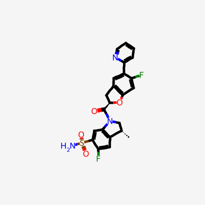 C[C@H]1CN(C(=O)[C@H]2Cc3cc(-c4ccccn4)c(F)cc3O2)c2cc(S(N)(=O)=O)c(F)cc21